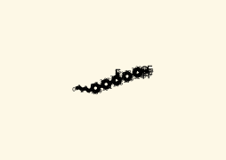 CCCCCC1CCC(C2CCC(c3ccc([C@H]4CC[C@H](c5ccc(OC(F)(F)F)cc5)CC4)c(F)c3)CC2)CC1